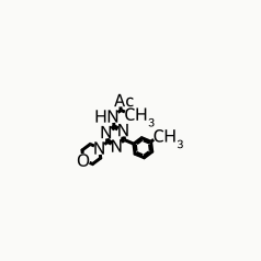 CC(=O)C(C)Nc1nc(-c2cccc(C)c2)nc(N2CCOCC2)n1